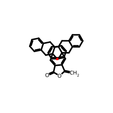 C=C1OC(=O)C(=C/C23C=CC=CC2Cc2ccccc2C3)/C1=C\C12C=CC=CC1Cc1ccccc1C2